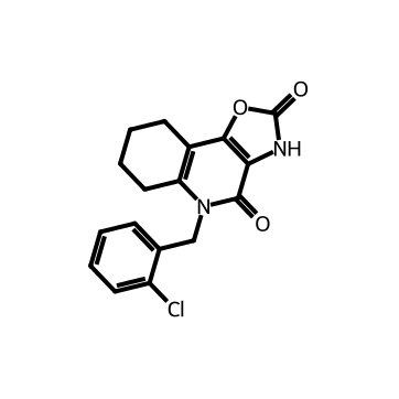 O=c1[nH]c2c(=O)n(Cc3ccccc3Cl)c3c(c2o1)CCCC3